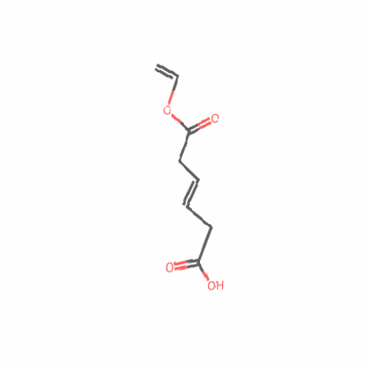 C=COC(=O)CC=CCC(=O)O